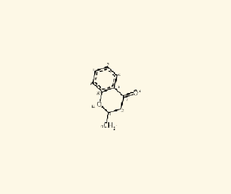 [CH2]C1CC(=O)c2ccccc2O1